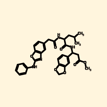 COC(=O)CC(NC(=O)C(CC(C)C)NC(=O)Cc1ccc2oc(Nc3ccccc3)nc2c1)c1ccc2c(c1)OCO2